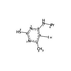 Cc1nc(S)nc(NC(C)C)c1I